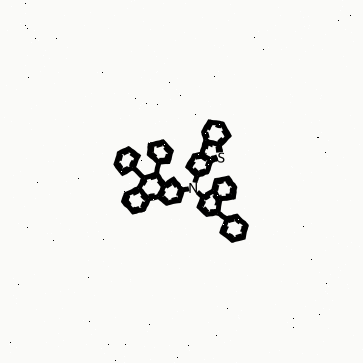 c1ccc(-c2ccc(N(c3ccc4c(c3)sc3ccccc34)c3ccc4c(c3)c(-c3ccccc3)c(-c3ccccc3)c3ccccc34)c3ccccc23)cc1